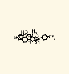 C[C@]12C=CC(=O)C=C1CC[C@@H]1[C@@H]2[C@@H](O)C[C@@]2(C)[C@H]1C[C@H]1OC(c3ccc(C(F)(F)F)cc3)O[C@]12C(=O)S